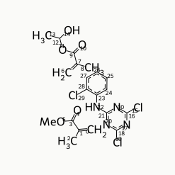 C=C(C)C(=O)OC.C=C(C)C(=O)OC(C)O.Clc1nc(Cl)nc(Nc2ccccc2Cl)n1